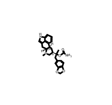 CN1C[C@H](C(C)(Cc2ccc3c(c2)OCO3)OC(N)=O)C[C@@H]2c3cccc4[nH]cc(c34)C[C@H]21